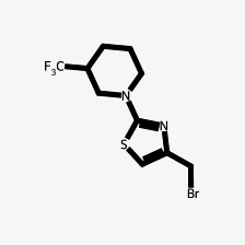 FC(F)(F)C1CCCN(c2nc(CBr)cs2)C1